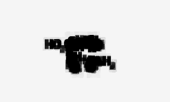 Cn1c(CNCCCC(NC(=O)c2ccc(C(N)Cc3nc4ccccc4n3C)cc2)C(=O)O)nc2ccccc21.NCc1cccc2ccccc12